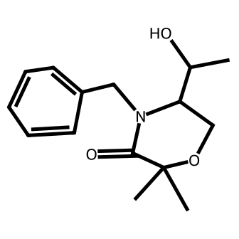 CC(O)C1COC(C)(C)C(=O)N1Cc1ccccc1